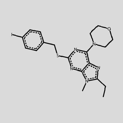 CCc1nc2c(N3CCOCC3)nc(SCc3ccc(I)cc3)nc2n1C